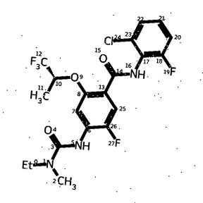 CCN(C)C(=O)Nc1cc(O[C@@H](C)C(F)(F)F)c(C(=O)Nc2c(F)cccc2Cl)cc1F